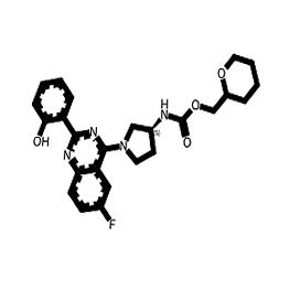 O=C(N[C@H]1CCN(c2nc(-c3ccccc3O)nc3ccc(F)cc23)C1)OCC1CCCCO1